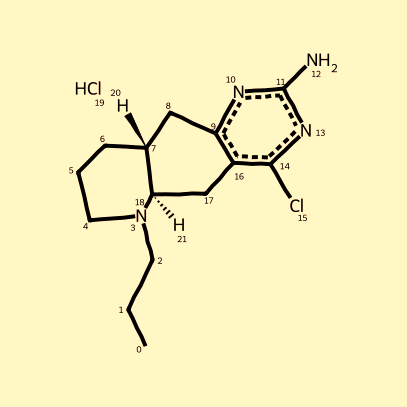 CCCN1CCC[C@@H]2Cc3nc(N)nc(Cl)c3C[C@H]21.Cl